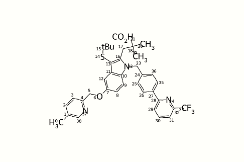 Cc1ccc(COc2ccc3c(c2)c(SC(C)(C)C)c(CC(C)(C)C(=O)O)n3Cc2ccc(-c3cccc(C(F)(F)F)n3)cc2)nc1